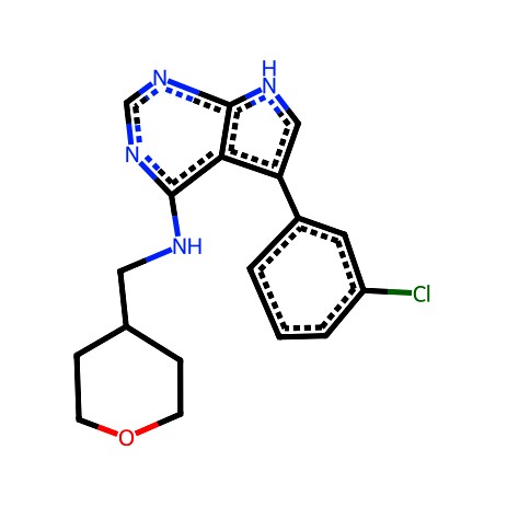 Clc1cccc(-c2c[nH]c3ncnc(NCC4CCOCC4)c23)c1